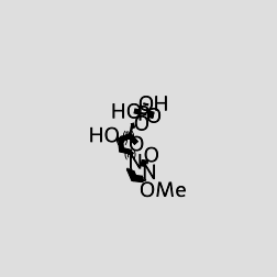 COc1ccn([C@H]2C[C@H](O)[C@@H](COP(=O)(O)O)O2)c(=O)n1